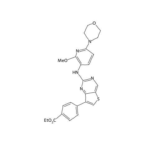 CCOC(=O)c1ccc(-c2csc3cnc(Nc4ccc(N5CCOCC5)nc4OC)nc23)cc1